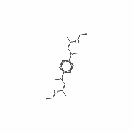 CCOC(C)CN(C)c1ccc(N(C)CC(C)OCC)cc1